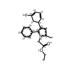 CCOC(=O)Cn1c(C)cc(C2C=CC=C(F)C2)c1-c1ccccc1